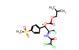 CC(C)COC(=O)O[C@H](c1ccc(S(C)(=O)=O)cc1)[C@@H](CF)NC(=O)C(Cl)Cl